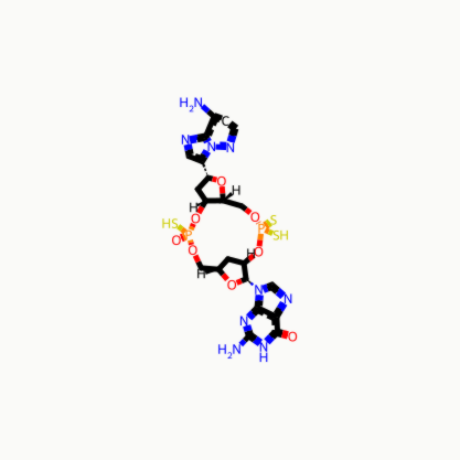 Nc1nc2c(ncn2[C@@H]2O[C@@H]3COP(=O)(S)O[C@H]4C[C@H](c5cnc6c(N)ccnn56)O[C@@H]4COP(=S)(S)O[C@@H]2C3)c(=O)[nH]1